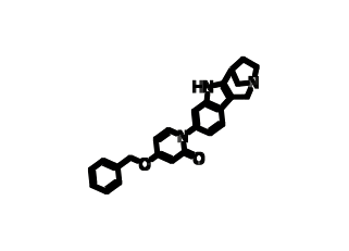 O=c1cc(OCc2ccccc2)ccn1-c1ccc2c3c([nH]c2c1)C1CCN(C3)C1